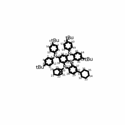 CC(C)(C)c1ccc(N(c2ccc(C(C)(C)C)cc2)c2cc3c4c(c2)N(C2CC5CCC2C5)c2ccc(C5CCCCC5)cc2B4c2cc(C(C)(C)C)ccc2N3c2ccc(C(C)(C)C)cc2)cc1